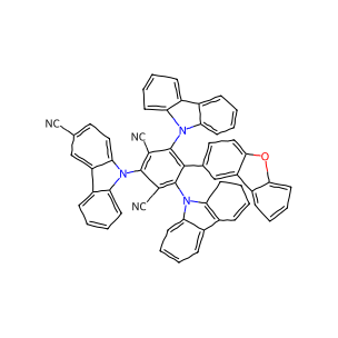 N#Cc1ccc2c(c1)c1ccccc1n2-c1c(C#N)c(-n2c3c(c4ccccc42)C=CCC3)c(-c2ccc3oc4ccccc4c3c2)c(-n2c3ccccc3c3ccccc32)c1C#N